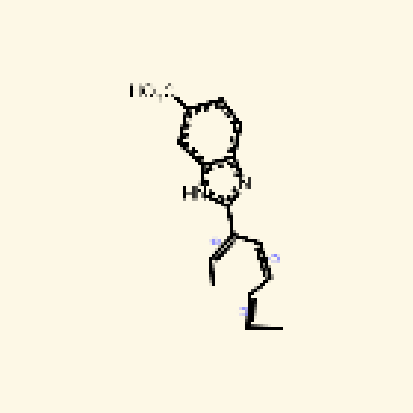 C\C=C/C=C\C(=C/C)c1nc2ccc(C(=O)O)cc2[nH]1